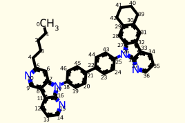 CCCCCc1cc2c(cn1)c1cccnc1n2-c1ccc(-c2ccc(-n3c4cc5c(cc4c4cccnc43)CCCC5)cc2)cc1